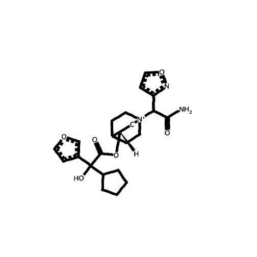 NC(=O)C(c1ccon1)[N+]12CCC(CC1)[C@@H](OC(=O)C(O)(c1ccoc1)C1CCCC1)C2